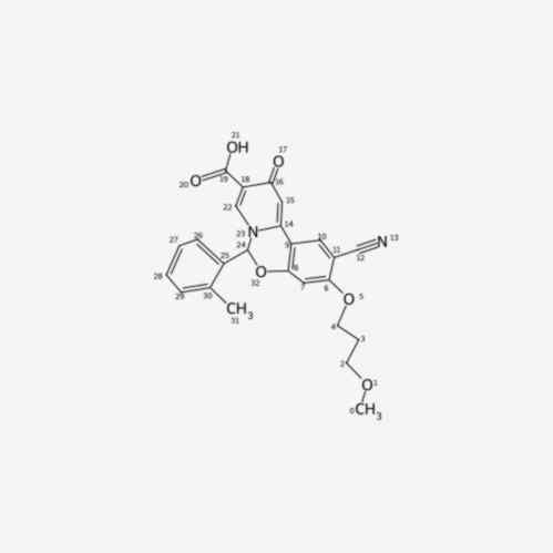 COCCCOc1cc2c(cc1C#N)-c1cc(=O)c(C(=O)O)cn1C(c1ccccc1C)O2